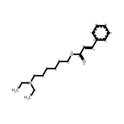 CCN(CC)CCCCCCOC(=O)/C=C/c1ccccc1